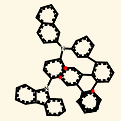 c1ccc(-c2ccccc2-c2c(-c3ccccc3)cccc2-c2cccc(N(c3ccc(-n4c5ccccc5c5ccccc54)cc3)c3ccc4ccccc4c3)c2)cc1